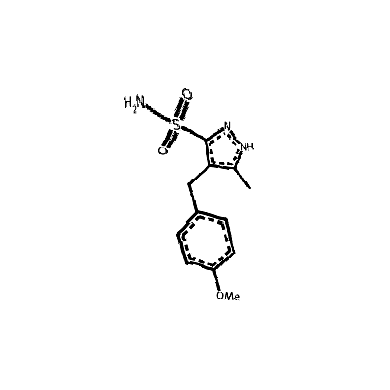 COc1ccc(Cc2c(S(N)(=O)=O)n[nH]c2C)cc1